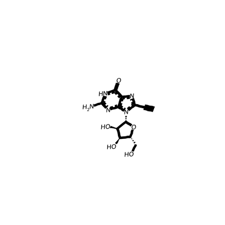 C#Cc1nc2c(=O)[nH]c(N)nc2n1[C@@H]1O[C@H](CO)[C@@H](O)[C@H]1O